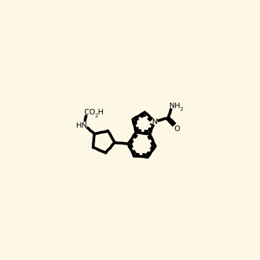 NC(=O)n1ccc2c(C3CCC(NC(=O)O)C3)cccc21